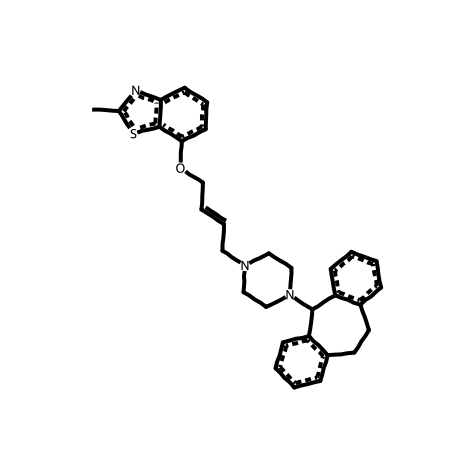 Cc1nc2cccc(OCC=CCN3CCN(C4c5ccccc5CCc5ccccc54)CC3)c2s1